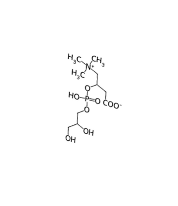 C[N+](C)(C)CC(CC(=O)[O-])OP(=O)(O)OCC(O)CO